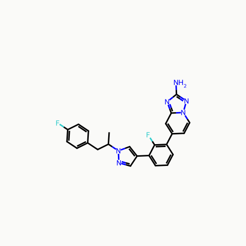 CC(Cc1ccc(F)cc1)n1cc(-c2cccc(-c3ccn4nc(N)nc4c3)c2F)cn1